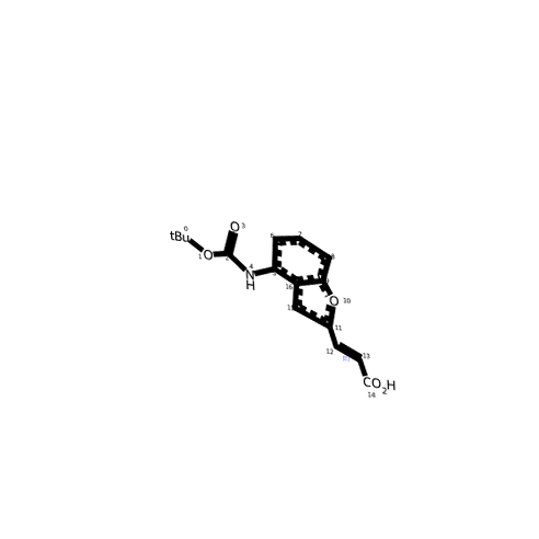 CC(C)(C)OC(=O)Nc1cccc2oc(/C=C/C(=O)O)cc12